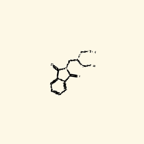 CCCCO[C@@H](CC(=O)O)CN1C(=O)c2ccccc2C1=O